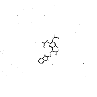 CC(=O)Oc1cc2c(cc1OC(C)=O)C(CSc1nc3ccccc3s1)NCC2